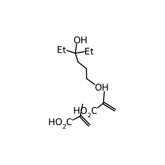 C=C(C)C(=O)O.C=C(C)C(=O)O.CCC(O)(CC)CCCO